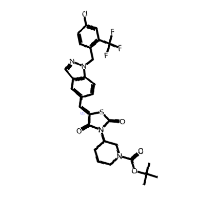 CC(C)(C)OC(=O)N1CCCC(N2C(=O)S/C(=C\c3ccc4c(cnn4Cc4ccc(Cl)cc4C(F)(F)F)c3)C2=O)C1